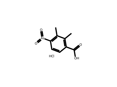 Cc1c(C(=O)O)ccc([As](=O)=O)c1C.Cl